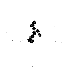 c1ccc(-c2cccc(N(c3ccc(-c4ccc5c(c4)sc4ccc6ccccc6c45)cc3)c3ccc(-c4cccc5c4sc4ccccc45)cc3)c2)cc1